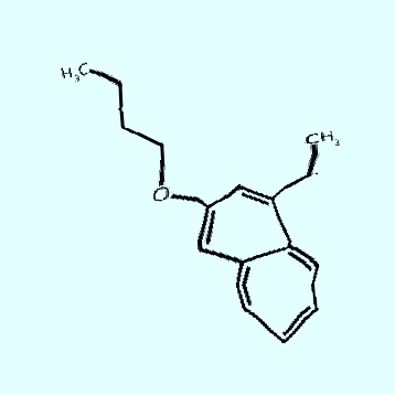 C[CH]c1cc(OCCCC)cc2ccccc12